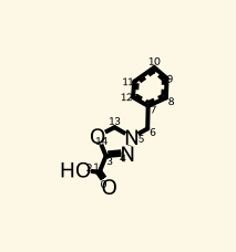 O=C(O)C1=NN(Cc2ccccc2)CO1